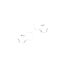 [C]1c2ccccc2CCN1C1NCc2ccccc21